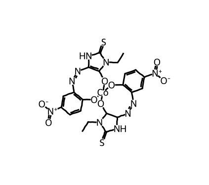 CCN1C(=S)NC2N=Nc3cc([N+](=O)[O-])ccc3[O][Co]3([O]c4ccc([N+](=O)[O-])cc4N=Nc4[nH]c(=S)n(CC)c4[O]3)[O]C21